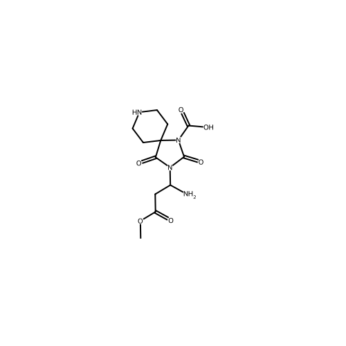 COC(=O)CC(N)N1C(=O)N(C(=O)O)C2(CCNCC2)C1=O